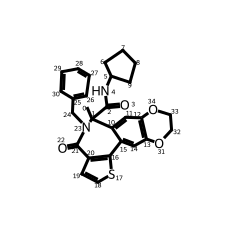 CC1(C(=O)NC2CCCC2)c2cc3c(cc2-c2sccc2C(=O)N1Cc1ccccc1)OCCO3